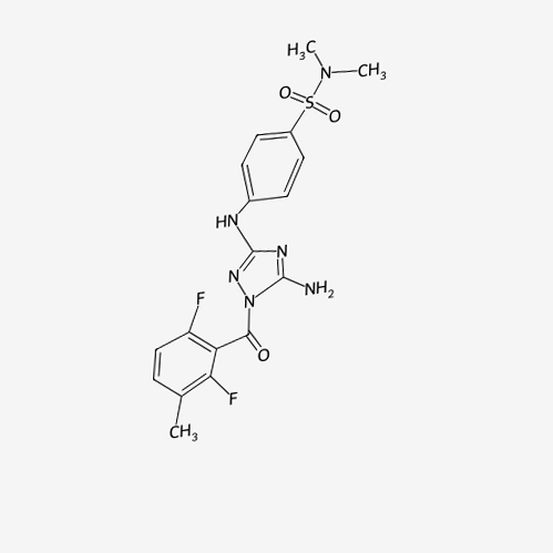 Cc1ccc(F)c(C(=O)n2nc(Nc3ccc(S(=O)(=O)N(C)C)cc3)nc2N)c1F